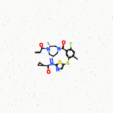 C=CC(=O)N1CCCN(C(=O)c2cc(Sc3cnc(NC(=O)C4CC4)s3)c(C)cc2F)C[C@H]1C